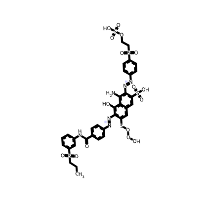 CCCS(=O)(=O)c1cccc(NC(=O)c2ccc(/N=N/c3c(SOOO)cc4cc(S(=O)(=O)O)c(/N=N/c5ccc(S(=O)(=O)CCOS(=O)(=O)O)cc5)c(N)c4c3O)cc2)c1